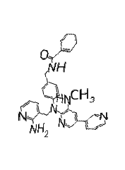 CNc1cc(-c2cccnc2)cnc1N(Cc1cccnc1N)c1ccc(CNC(=O)c2ccccc2)cc1